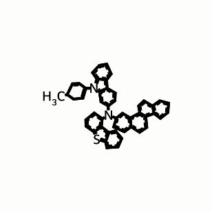 CC1C=CC(n2c3ccccc3c3ccc(N(c4ccc5ccc6c7ccccc7ccc6c5c4)c4cccc5sc6ccccc6c45)cc32)=CC1